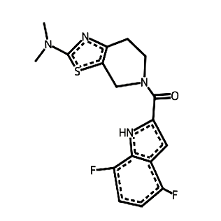 CN(C)c1nc2c(s1)CN(C(=O)c1cc3c(F)ccc(F)c3[nH]1)CC2